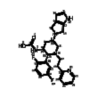 O=C(O)N[C@H]1C[C@@H](N2Cc3cc[nH]c3C2)CN(CCc2ccccn2)[C@H]1c1cc(F)ccc1F